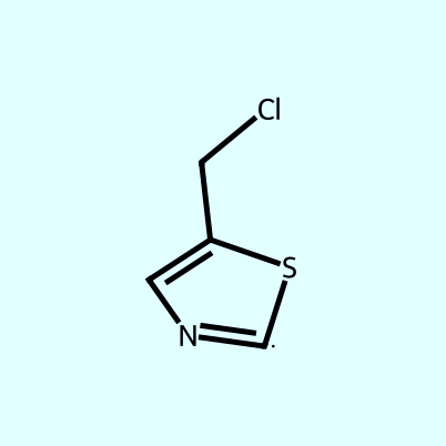 ClCc1cn[c]s1